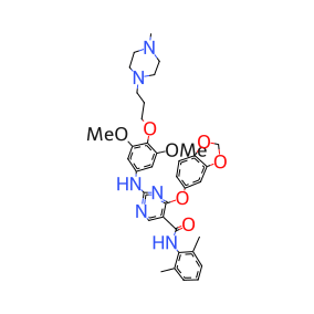 COc1cc(Nc2ncc(C(=O)Nc3c(C)cccc3C)c(Oc3ccc4c(c3)OCO4)n2)cc(OC)c1OCCCN1CCN(C)CC1